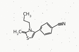 C=C1SC=C(c2ccc(C#N)cc2)N1CCC